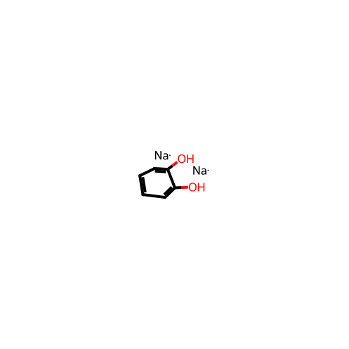 Oc1ccccc1O.[Na].[Na]